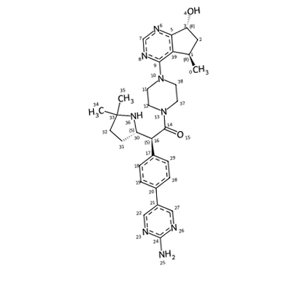 C[C@@H]1C[C@@H](O)c2ncnc(N3CCN(C(=O)[C@@H](c4ccc(-c5cnc(N)nc5)cc4)[C@@H]4CCC(C)(C)N4)CC3)c21